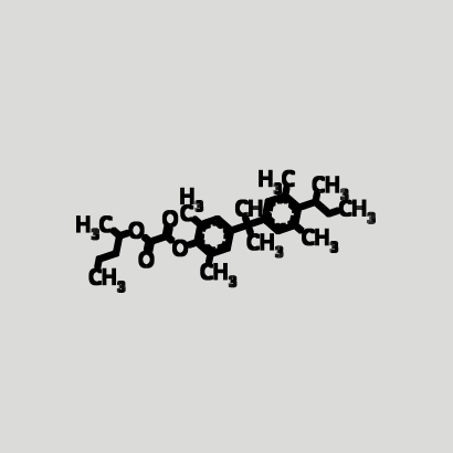 CCCC(C)OC(=O)C(=O)Oc1c(C)cc(C(C)(C)c2cc(C)c(C(C)CC)c(C)c2)cc1C